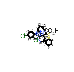 O=C(O)C(Sc1ccccc1)C1([n+]2ccccc2)C=CC=NC1Nc1ccc(Cl)cc1Cl